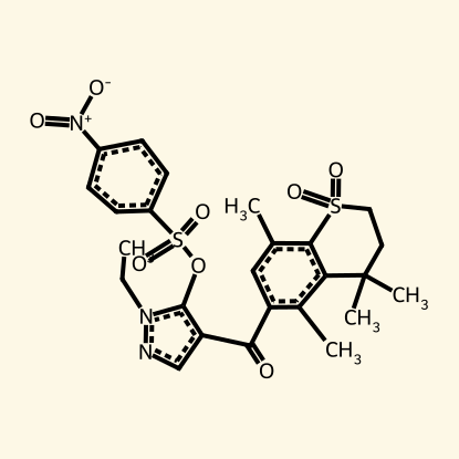 CCn1ncc(C(=O)c2cc(C)c3c(c2C)C(C)(C)CCS3(=O)=O)c1OS(=O)(=O)c1ccc([N+](=O)[O-])cc1